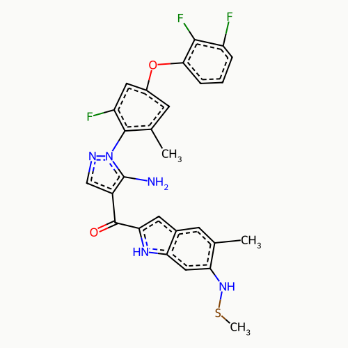 CSNc1cc2[nH]c(C(=O)c3cnn(-c4c(C)cc(Oc5cccc(F)c5F)cc4F)c3N)cc2cc1C